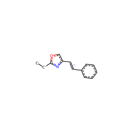 [CH2-][CH+]c1nc(/C=C/c2ccccc2)co1